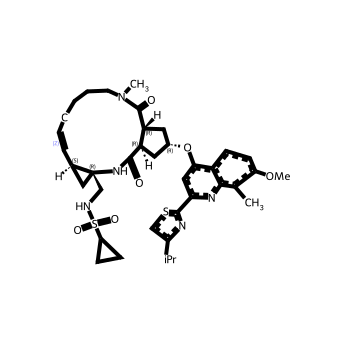 COc1ccc2c(O[C@@H]3C[C@H]4C(=O)N[C@]5(CNS(=O)(=O)C6CC6)C[C@H]5/C=C\CCCCN(C)C(=O)[C@@H]4C3)cc(-c3nc(C(C)C)cs3)nc2c1C